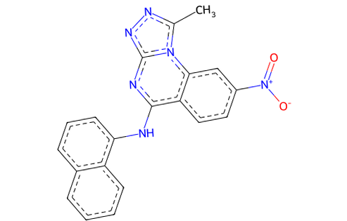 Cc1nnc2nc(Nc3cccc4ccccc34)c3ccc([N+](=O)[O-])cc3n12